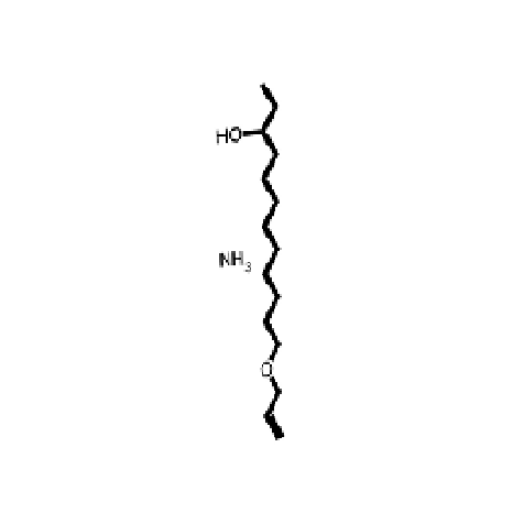 C=CCOCCCCCCCCCC(O)CC.N